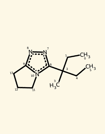 CCC(C)(CC)c1nnc2n1CCC2